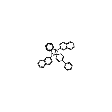 C1=CC(N(c2ccccc2)c2ccc3ccccc3c2)(N(c2ccccc2)c2ccc3ccccc3c2)CC=C1c1ccccc1